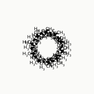 C=C[Si]1(C(C)(C)C)O[Si](C=C)(C(C)(C)C)O[Si](C=C)(C(C)(C)C)O[Si](C=C)(C(C)(C)C)O[Si](C=C)(C(C)(C)C)O[Si](C=C)(C(C)(C)C)O[Si](C=C)(C(C)(C)C)O[Si](C=C)(C(C)(C)C)O[Si](C=C)(C(C)(C)C)O[Si](C=C)(C(C)(C)C)O1